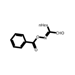 CCCCCC/C(C=O)=N\OC(=O)c1ccccc1